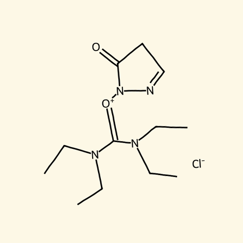 CCN(CC)C(=[O+]N1N=CCC1=O)N(CC)CC.[Cl-]